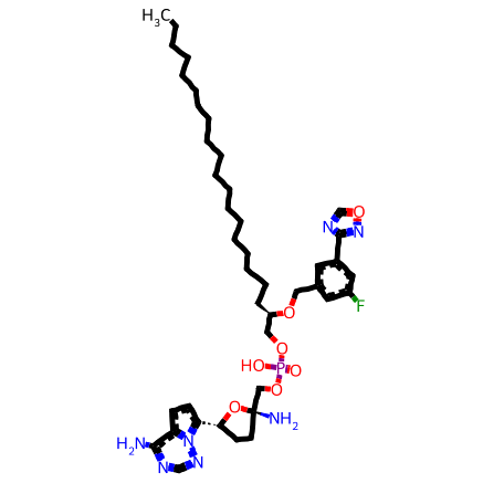 CCCCCCCCCCCCCCCCCCC[C@H](COP(=O)(O)OC[C@]1(N)CC[C@H](c2ccc3c(N)ncnn23)O1)OCc1cc(F)cc(-c2ncon2)c1